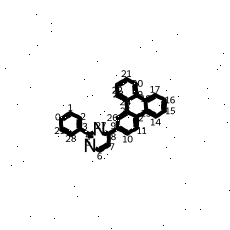 c1ccc(-c2nccc(-c3ccc4c5ccccc5c5ccccc5c4c3)n2)cc1